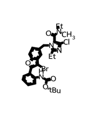 CCc1nc(Cl)c(C(=O)N(C)CC)n1Cc1ccc2oc(-c3ccccc3NC(=O)OC(C)(C)C)c(Br)c2c1